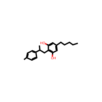 CCCCCc1cc(O)c(CC(C)c2ccc(C)cc2)c(O)c1